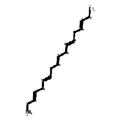 [CH2]CC=CCC=CCC=CCC=CCC=CCC